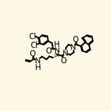 C=CC(=O)NCCCC[C@H](NC(=O)Cc1ccc(Cl)c(Cl)c1)C(=O)N1CCN(C(=O)c2cccc3ccccc23)CC1